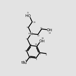 Cc1cc(C(C)(C)C)cc(CN(CCO)CCO)c1O